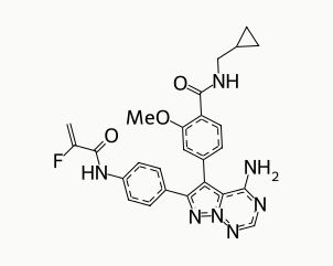 C=C(F)C(=O)Nc1ccc(-c2nn3ncnc(N)c3c2-c2ccc(C(=O)NCC3CC3)c(OC)c2)cc1